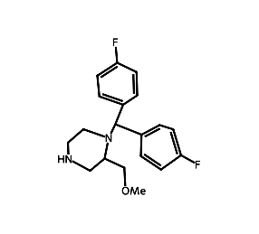 COCC1CNCCN1C(c1ccc(F)cc1)c1ccc(F)cc1